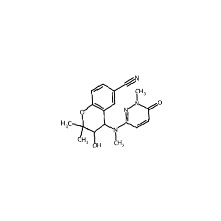 CN(c1ccc(=O)n(C)n1)C1c2cc(C#N)ccc2OC(C)(C)C1O